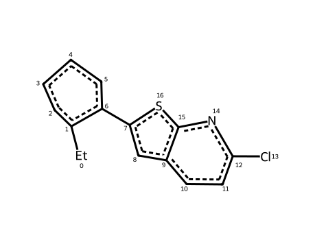 CCc1ccccc1-c1cc2ccc(Cl)nc2s1